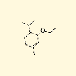 CCOC1C=C(C)CCC1C(C)C